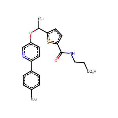 CC(C)(C)c1ccc(-c2ccc(OC(c3ccc(C(=O)NCCC(=O)O)s3)C(C)(C)C)cn2)cc1